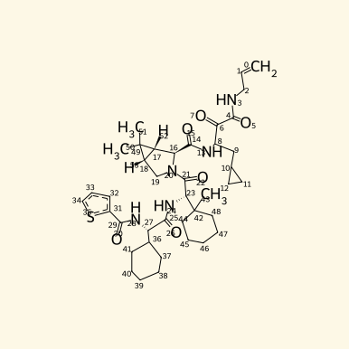 C=CCNC(=O)C(=O)C(CC1CC1)NC(=O)[C@@H]1[C@@H]2[C@H](CN1C(=O)[C@@H](NC(=O)[C@@H](NC(=O)c1cccs1)C1CCCCC1)C1(C)CCCCC1)C2(C)C